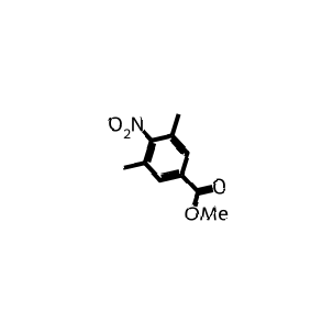 COC(=O)c1cc(C)c([N+](=O)[O-])c(C)c1